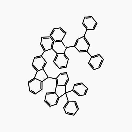 c1ccc(-c2cc(-c3ccccc3)cc(N(c3ccccc3)c3ccccc3-c3ccccc3-c3ccc4c5ccccc5n(-c5cccc6c5-c5ccccc5C6(c5ccccc5)c5ccccc5)c4c3)c2)cc1